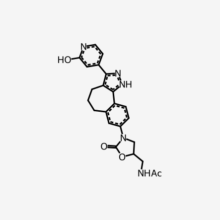 CC(=O)NCC1CN(c2ccc3c(c2)CCCc2c(-c4ccnc(O)c4)n[nH]c2-3)C(=O)O1